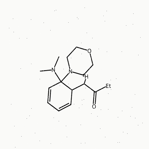 [2H]C(C(=O)CC)C1C=CC=CC1(N(C)C)N1CCOCC1